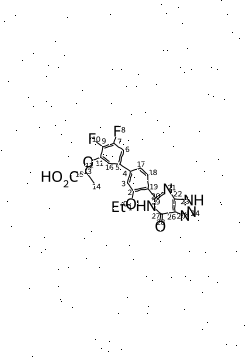 CCOc1cc(-c2cc(F)c(F)c(O[C@H](C)C(=O)O)c2)ccc1-c1nc2[nH]nnc2c(=O)[nH]1